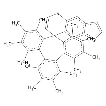 Cc1c(C)c(C)c2c(c1C)-c1c(C)c(C)c(C)c(C)c1C1(C=CSc3cc4ccoc4cc31)c1c(C)c(C)c(C)c(C)c1-2